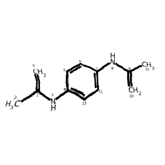 C=C(C)Nc1ccc(NC(=C)C)cc1